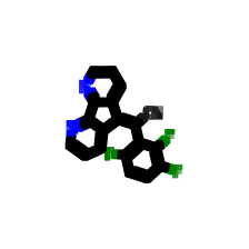 N#CC(=C1c2cccnc2-c2ncccc21)c1c(F)ccc(F)c1F